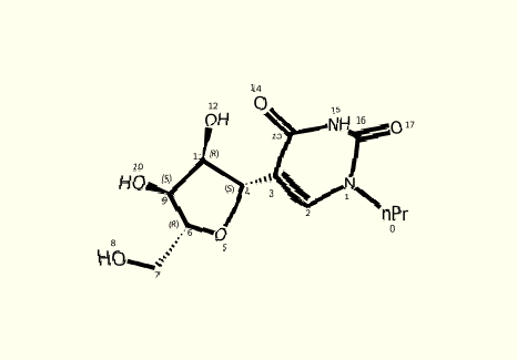 CCCn1cc([C@@H]2O[C@H](CO)[C@@H](O)[C@H]2O)c(=O)[nH]c1=O